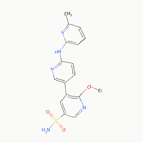 CCOc1ncc(S(N)(=O)=O)cc1-c1ccc(Nc2cccc(C)n2)nc1